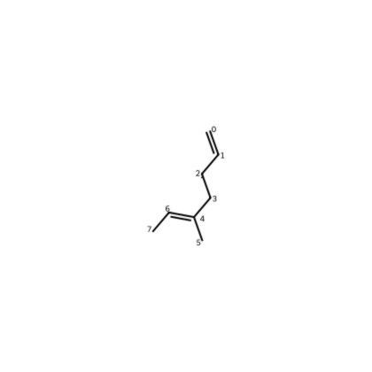 C=C[CH]CC(C)=CC